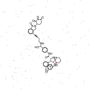 O=C1CCC(N2Cc3c(C#CCCNC(O)c4ccc(NC(=O)[C@@H]5NC6(CCCCC6)[C@@]6(C(=O)Nc7cc(Cl)ccc76)[C@H]5c5cccc(Cl)c5F)cc4)cccc3C2=O)C(=O)N1